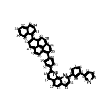 c1cncc(-c2cccc(-c3ccc4ccc5ccc(-c6ccc(-c7ccc8ccc9c(-c%10cccc%11ccccc%10%11)ccc%10ccc7c8c%109)cc6)nc5c4n3)c2)c1